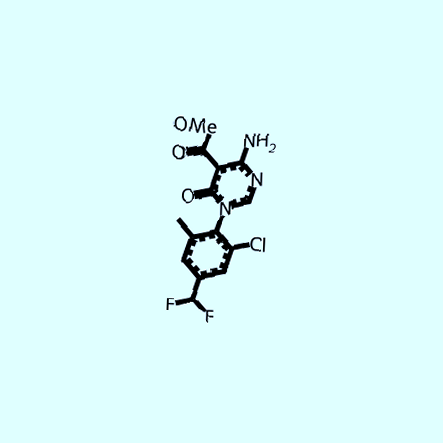 COC(=O)c1c(N)ncn(-c2c(C)cc(C(F)F)cc2Cl)c1=O